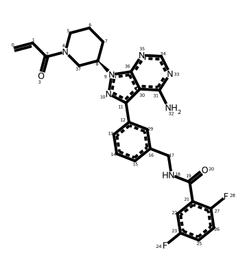 C=CC(=O)N1CCC[C@@H](n2nc(-c3cccc(CNC(=O)c4cc(F)ccc4F)c3)c3c(N)ncnc32)C1